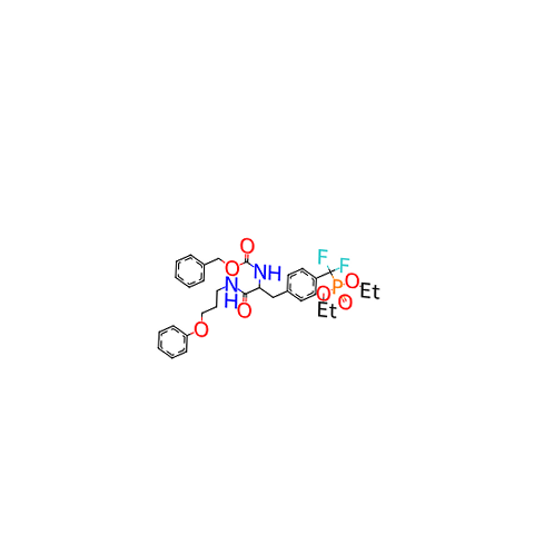 CCOP(=O)(OCC)C(F)(F)c1ccc(CC(NC(=O)OCc2ccccc2)C(=O)NCCCOc2ccccc2)cc1